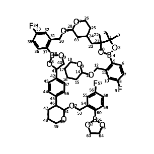 CC1(C)OB(c2ccc(F)cc2COC2CCCCO2)OC1(C)CC1CCOC(OCc2cc(F)ccc2B2OCC(c3ccc(C4CCCOC4OCc4cc(F)ccc4B4OCCO4)cc3)O2)C1